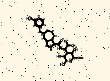 CSC(O)C(O)C(C(O)CO)C(NC(=O)C1NCC2CN(Cc3ccnc(N)c3)CCOC21)C(C)Cl